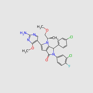 COC[C@@H](C)n1c(-c2cnc(N)nc2OC)cc2c1C(c1ccc(Cl)cc1)N(c1ccc(F)c(Cl)c1)C2=O